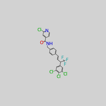 O=C(NCc1ccc(/C=C/C(c2cc(Cl)c(Cl)c(Cl)c2)C(F)(F)F)cc1)c1ccnc(Cl)c1